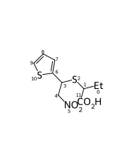 CCC(SC(C[N+](=O)[O-])c1cccs1)C(=O)O